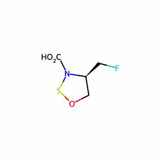 O=C(O)N1SOC[C@@H]1CF